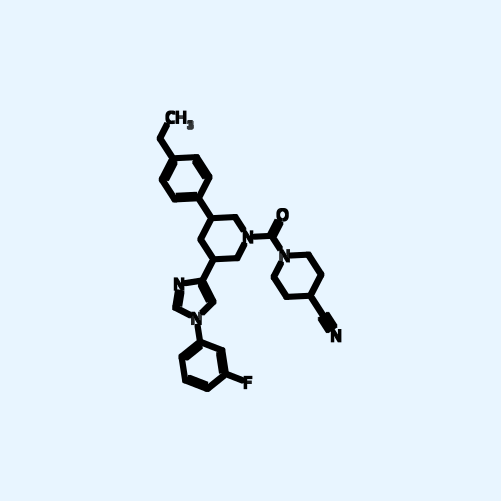 CCc1ccc(C2CC(c3cn(-c4cccc(F)c4)cn3)CN(C(=O)N3CCC(C#N)CC3)C2)cc1